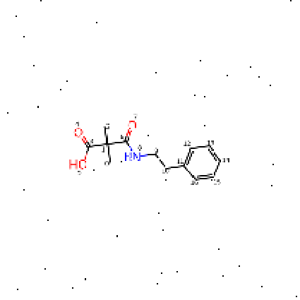 CC(C)(C(=O)O)C(=O)NCCc1ccccc1